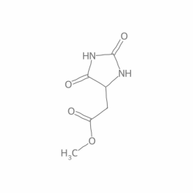 COC(=O)CC1NC(=O)NC1=O